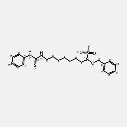 CS(=O)(=O)N(CCCCCCCNC(=S)Nc1ccncc1)OCc1ccccc1